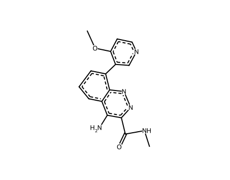 CNC(=O)c1nnc2c(-c3cnccc3OC)cccc2c1N